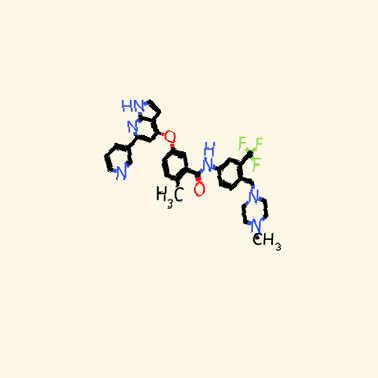 Cc1ccc(Oc2cc(-c3cccnc3)nc3[nH]ccc23)cc1C(=O)Nc1ccc(CN2CCN(C)CC2)c(C(F)(F)F)c1